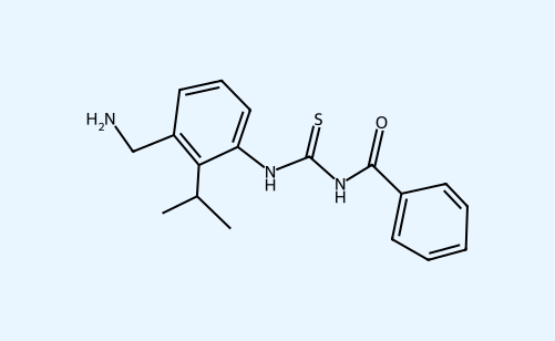 CC(C)c1c(CN)cccc1NC(=S)NC(=O)c1ccccc1